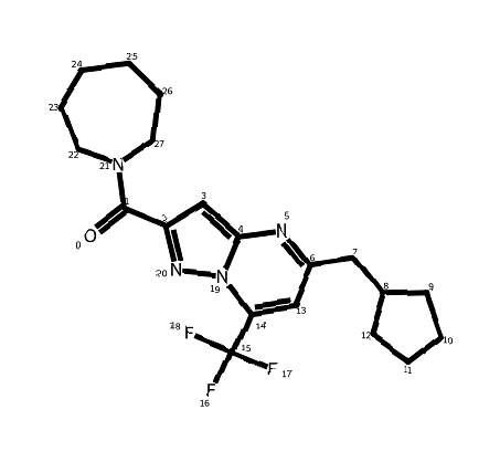 O=C(c1cc2nc(CC3CCCC3)cc(C(F)(F)F)n2n1)N1CCCCCC1